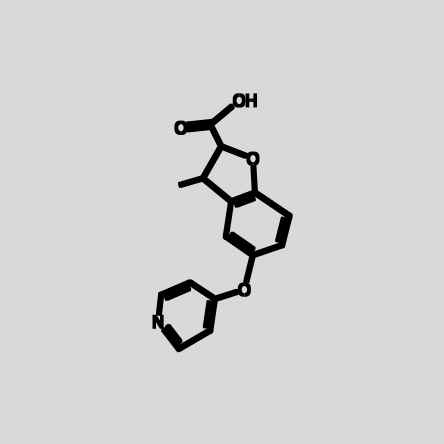 CC1c2cc(Oc3ccncc3)ccc2OC1C(=O)O